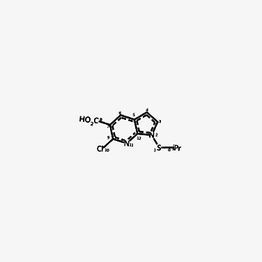 CC(C)Sn1ccc2cc(C(=O)O)c(Cl)nc21